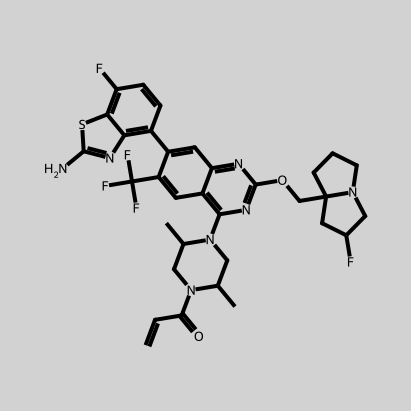 C=CC(=O)N1CC(C)N(c2nc(OCC34CCCN3CC(F)C4)nc3cc(-c4ccc(F)c5sc(N)nc45)c(C(F)(F)F)cc23)CC1C